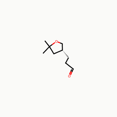 CC1(C)C[C@@H](CCC=O)CO1